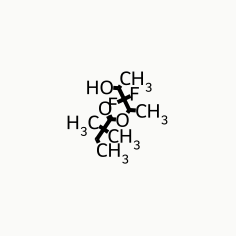 CCC(C)(C)C(=O)OC(C)C(F)(F)C(C)O